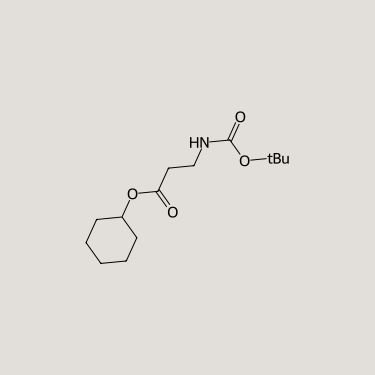 CC(C)(C)OC(=O)NCCC(=O)OC1CCCCC1